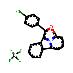 Clc1ccc(-c2oc3cccc4[n+]3c2-c2ccccc2-4)cc1.F[B-](F)(F)F